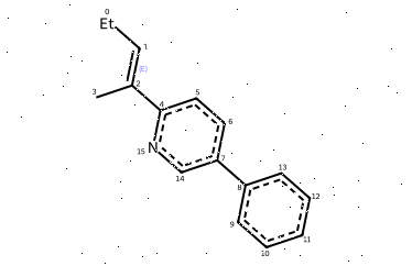 CC/C=C(\C)c1ccc(-c2ccccc2)cn1